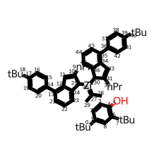 CC(C)(C)c1ccc(O)c(C(C)(C)C)c1.CCCC1=Cc2c(-c3ccc(C(C)(C)C)cc3)cccc2[CH]1[Zr](=[C](C)C)[CH]1C(CCC)=Cc2c(-c3ccc(C(C)(C)C)cc3)cccc21